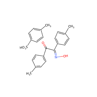 Cc1ccc(C(=O)C(=NO)c2ccc(C)cc2)cc1.Cc1ccc(S(=O)(=O)O)cc1